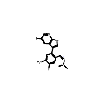 CN(C)/N=C\c1cc(F)c(N)cc1-c1c[nH]c2ncc(F)cc12